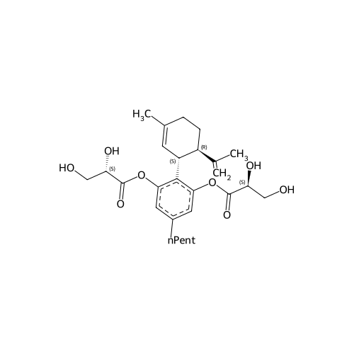 C=C(C)[C@@H]1CCC(C)=C[C@H]1c1c(OC(=O)[C@@H](O)CO)cc(CCCCC)cc1OC(=O)[C@@H](O)CO